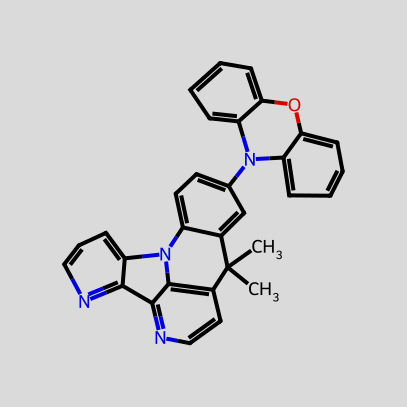 CC1(C)c2cc(N3c4ccccc4Oc4ccccc43)ccc2-n2c3cccnc3c3nccc1c32